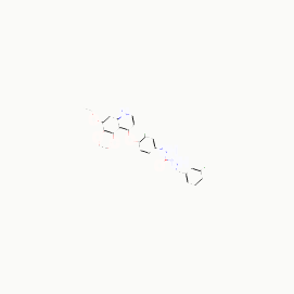 CCOc1cc2nccc(Oc3ccc(NC(=O)NCc4cccc(F)c4)cc3F)c2c2c1OCCO2